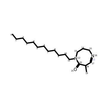 CCCCCCCCCCCCN1CCC/N=C\C(C)C1=O